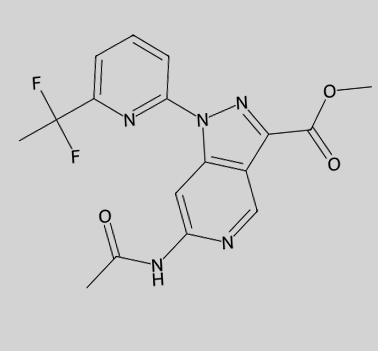 COC(=O)c1nn(-c2cccc(C(C)(F)F)n2)c2cc(NC(C)=O)ncc12